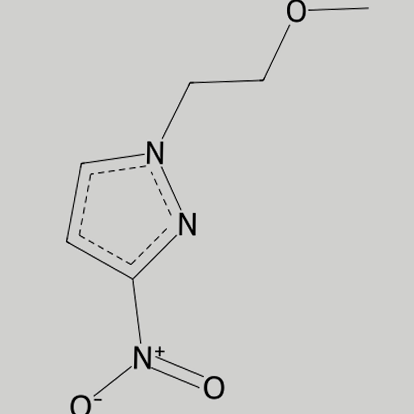 COCCn1ccc([N+](=O)[O-])n1